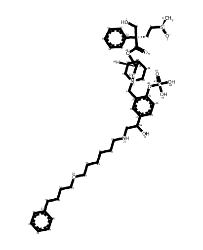 C[S@@+]([O-])CC[C@](CO)(C(=O)O[C@H]1C[N+]2(Cc3cc(C(O)CNCCCCCCOCCCCc4ccccc4)ccc3OP(=O)(O)O)CCC1CC2)c1ccccc1